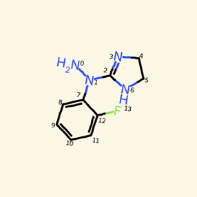 NN(C1=NCCN1)c1ccccc1F